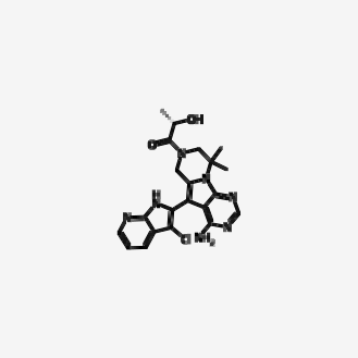 C[C@H](O)C(=O)N1Cc2c(-c3[nH]c4ncccc4c3Cl)c3c(N)ncnc3n2C(C)(C)C1